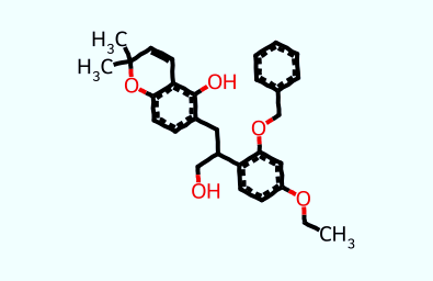 CCOc1ccc(C(CO)Cc2ccc3c(c2O)C=CC(C)(C)O3)c(OCc2ccccc2)c1